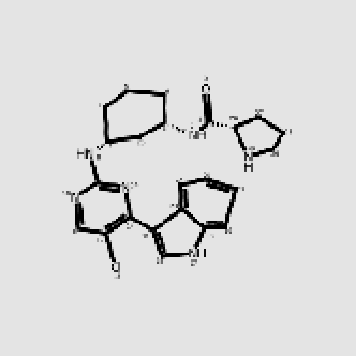 O=C(N[C@H]1CCC[C@@H](Nc2ncc(Cl)c(-c3c[nH]c4ccccc34)n2)C1)[C@@H]1CCCN1